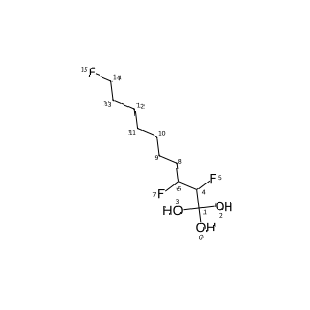 OC(O)(O)C(F)C(F)CCCCCCCF